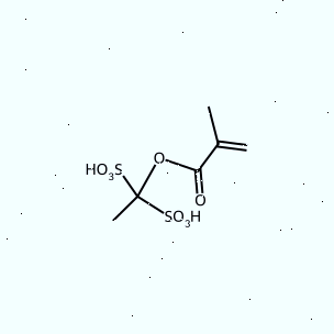 C=C(C)C(=O)OC(C)(S(=O)(=O)O)S(=O)(=O)O